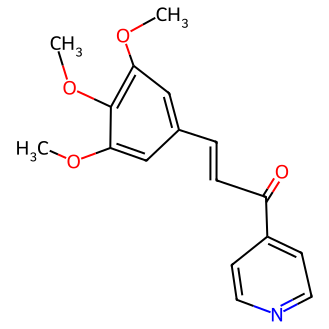 COc1cc(/C=C/C(=O)c2ccncc2)cc(OC)c1OC